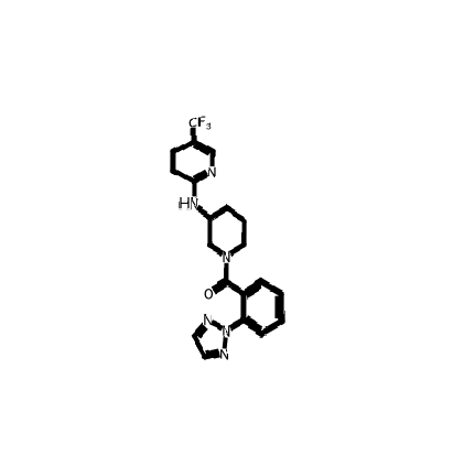 O=C(c1ccccc1-n1nccn1)N1CCCC(NC2=NC=C(C(F)(F)F)CC2)C1